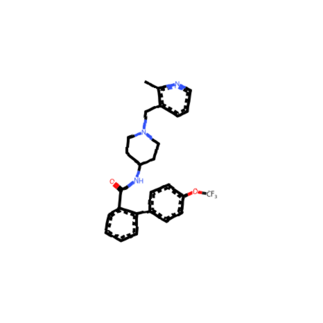 Cc1ncccc1CN1CCC(NC(=O)c2ccccc2-c2ccc(OC(F)(F)F)cc2)CC1